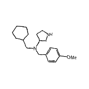 COc1ccc(CN(CC2CCCCC2)C2CCNC2)cc1